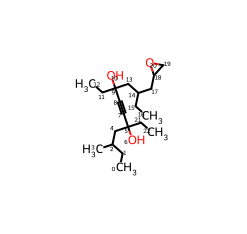 CCC(C)CC(O)(C#CC(O)(CC)CC(CC)CC1CO1)CC